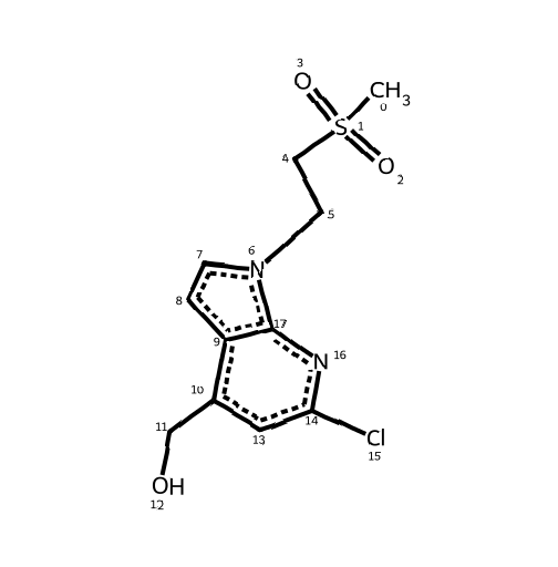 CS(=O)(=O)CCn1ccc2c(CO)cc(Cl)nc21